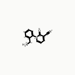 N#Cc1cccn(-c2ccccc2CN)c1=O